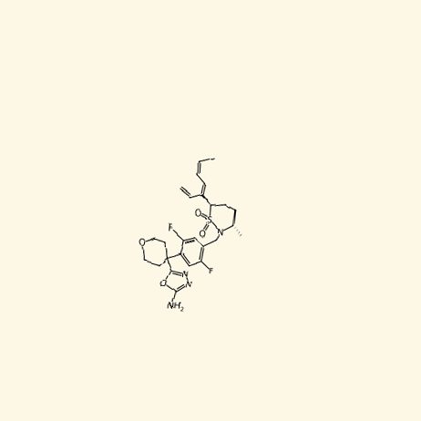 C=C/C(=C\C=C/C)[C@H]1CC[C@H](C)N(Cc2cc(F)c(C3(c4nnc(N)o4)CCOCC3)cc2F)S1(=O)=O